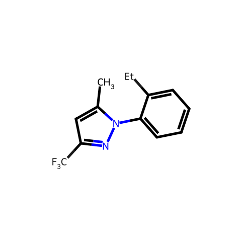 CCc1ccccc1-n1nc(C(F)(F)F)cc1C